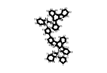 c1ccc(-n2c(-n3c4ccccc4c4c5ccccc5c5c6cc(-c7ccc(-n8c(-n9c%10ccccc%10c%10c%11sc%12ccccc%12c%11c%11ccccc%11c%109)nc9ccccc98)cc7)ccc6sc5c43)nc3ccccc32)cc1